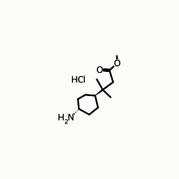 COC(=O)CC(C)(C)[C@H]1CC[C@H](N)CC1.Cl